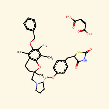 Cc1c(C)c2c(c(C)c1OCc1ccccc1)CCC(C)(CN1CCC[C@H]1COc1ccc(CC3SC(=O)NC3=O)cc1)O2.O=C(O)/C=C\C(=O)O